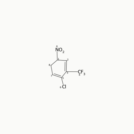 O=[N+]([O-])C1C=C(C(F)(F)F)C(Cl)=CC1